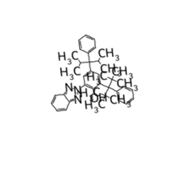 CC(C)C(c1ccccc1)(c1cc(-n2nc3ccccc3n2)c(O)c(C(c2ccccc2)(C(C)(C)C)C(C)(C)C)c1)C(C)C